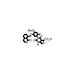 COc1cc(F)c(-n2c(=O)[nH]c3csc(C(=O)O)c3c2=O)cc1OCc1cccc2ccnc(Cl)c12